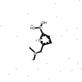 CN(C)Cc1ccc(B(O)O)o1